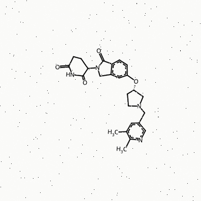 Cc1cc(CN2CC[C@H](Oc3ccc4c(c3)CN(C3CCC(=O)NC3=O)C4=O)C2)cnc1C